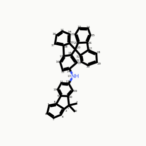 CC1(C)c2ccccc2-c2ccc(Nc3ccc4c(c3)C3(c5ccccc5-c5ccccc53)c3ccccc3-4)cc21